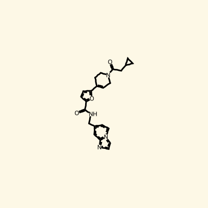 O=C(NCc1ccn2ccnc2c1)c1ccc(C2=CCN(C(=O)CC3CC3)CC2)o1